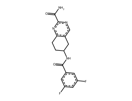 NC(=O)c1ncc2c(n1)CCC(NC(=O)c1cc(F)cc(F)c1)C2